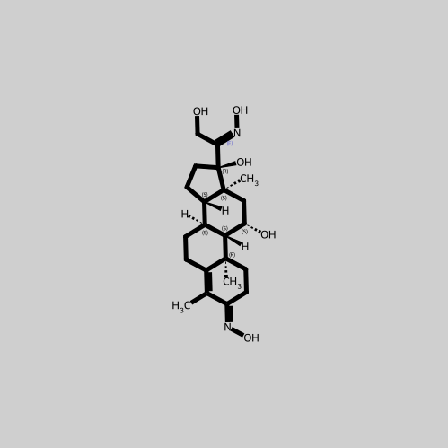 CC1=C2CC[C@@H]3[C@H]([C@@H](O)C[C@@]4(C)[C@H]3CC[C@]4(O)/C(CO)=N/O)[C@@]2(C)CCC1=NO